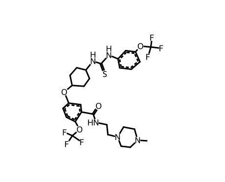 CN1CCN(CCNC(=O)c2cc(OC3CCC(NC(=S)Nc4cccc(OC(F)(F)F)c4)CC3)ccc2OC(F)(F)F)CC1